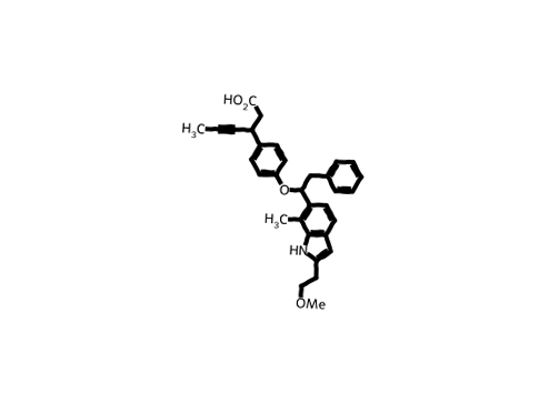 CC#CC(CC(=O)O)c1ccc(OC(Cc2ccccc2)c2ccc3cc(CCOC)[nH]c3c2C)cc1